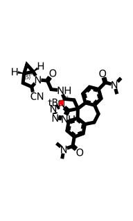 CN(C)C(=O)c1ccc2c(c1)CCc1cc(C(=O)N(C)C)ccc1C2(C[C@@H](NCC(=O)N1C(C#N)C[C@@H]2C[C@@H]21)C(C)(C)C)c1nnn[nH]1